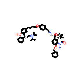 CC(C)N(CC[C@H](c1ccccc1)c1cc(CCCCOc2ccc(CCNC[C@H](O[Si](C)(C)C(C)(C)C)c3ccc(OCc4ccccc4)c(NC=O)c3)cc2)ccc1O)C(C)C